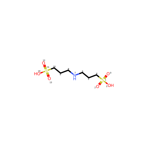 O=S(=O)(O)CCCNCCCS(=O)(=O)O